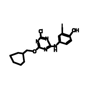 Oc1ccc(Nc2nc(Cl)nc(OCC3CCCCC3)n2)cc1I